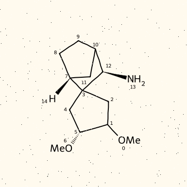 COC1CC2(C[C@H]1OC)[C@@H]1CCC(C1)[C@H]2N